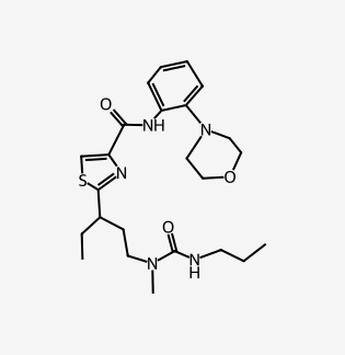 CCCNC(=O)N(C)CCC(CC)c1nc(C(=O)Nc2ccccc2N2CCOCC2)cs1